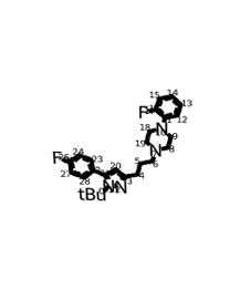 CC(C)(C)n1nc(CCCN2CCN(c3ccccc3F)CC2)cc1-c1ccc(F)cc1